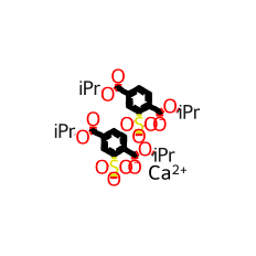 CC(C)OC(=O)c1ccc(C(=O)OC(C)C)c(S(=O)(=O)[O-])c1.CC(C)OC(=O)c1ccc(C(=O)OC(C)C)c(S(=O)(=O)[O-])c1.[Ca+2]